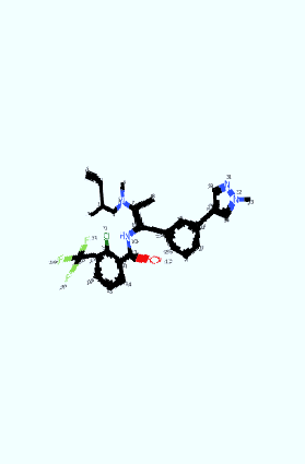 CCC(C)CN(C)C(C)C(NC(=O)c1cccc(C(F)(F)F)c1Cl)c1cccc(-c2cnn(C)c2)c1